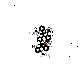 CCC(CC)(c1ccccc1OC(C)=O)C(c1ccccc1CC(C)=O)c1cccc(C(CC)(CC)C(c2ccccc2OC(C)=O)c2ccccc2OC(C)=O)c1OC(C)=O